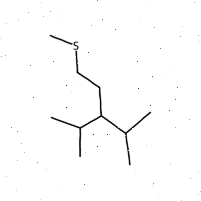 CSCCC(C(C)C)C(C)C